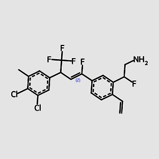 C=Cc1ccc(/C(F)=C/C(c2cc(C)c(Cl)c(Cl)c2)C(F)(F)F)cc1C(F)CN